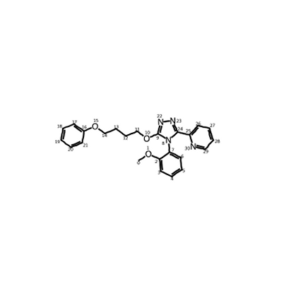 COc1ccccc1-n1c(OCCCCOc2ccccc2)nnc1-c1ccccn1